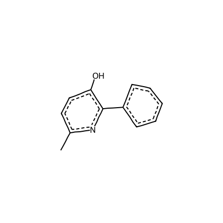 Cc1ccc(O)c(-c2ccccc2)n1